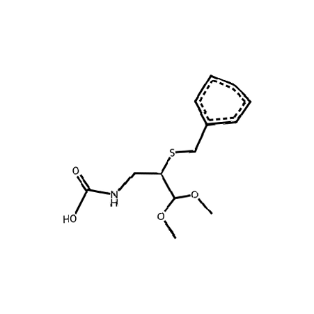 COC(OC)C(CNC(=O)O)SCc1ccccc1